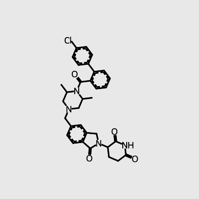 CC1CN(Cc2ccc3c(c2)CN(C2CCC(=O)NC2=O)C3=O)CC(C)N1C(=O)c1ccccc1-c1ccc(Cl)cc1